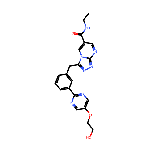 CCNC(=O)c1cnc2nnc(Cc3cccc(-c4ncc(OCCO)cn4)c3)n2c1